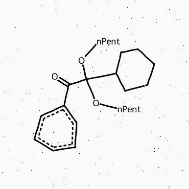 CCCCCOC(OCCCCC)(C(=O)c1ccccc1)C1CCCCC1